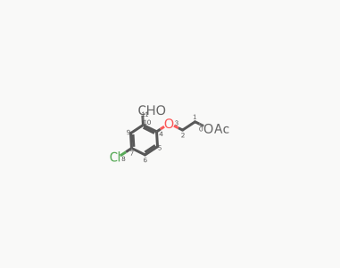 CC(=O)OCCOc1ccc(Cl)cc1C=O